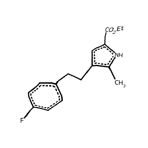 CCOC(=O)c1cc(CCc2ccc(F)cc2)c(C)[nH]1